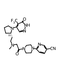 CN(CC[C@@H]1CCCN1c1cn[nH]c(=O)c1C(F)(F)F)CC(=O)N1CCN(c2ccc(C#N)cn2)CC1